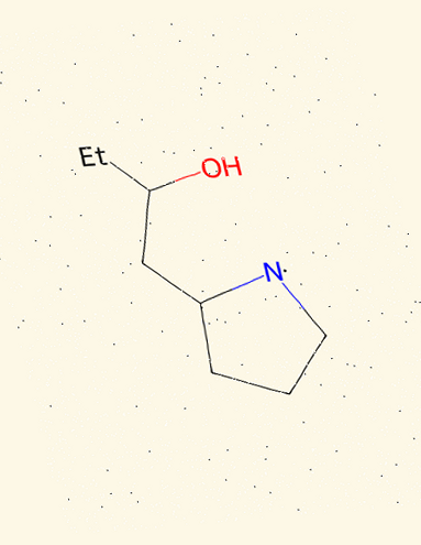 CCC(O)CC1CCC[N]1